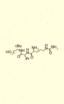 CCCC[C@H](NC(=O)[C@@H](NC(=O)[C@@H](N)CCCNC(N)=O)C(C)C)C(=O)O